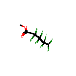 COC(=O)C(F)(F)C(F)(F)C(F)(F)C(F)F